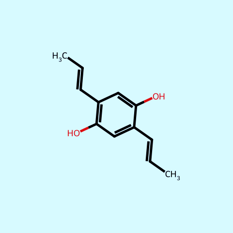 C/C=C/c1cc(O)c(/C=C/C)cc1O